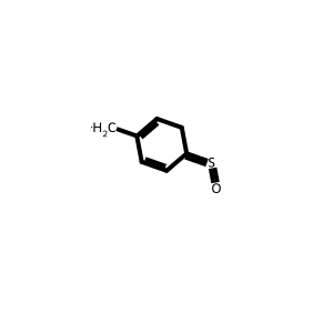 [CH2]C1=CCC(=S=O)C=C1